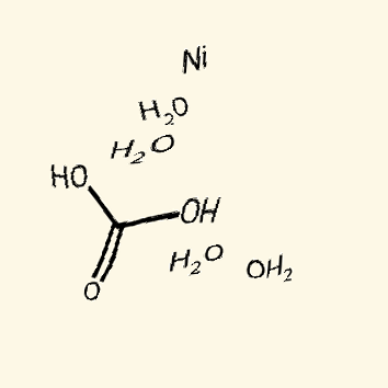 O.O.O.O.O=C(O)O.[Ni]